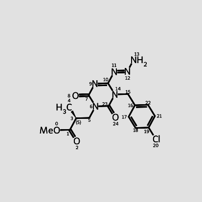 COC(=O)[C@@H](C)Cn1c(=O)nc(N=NN)n(Cc2ccc(Cl)cc2)c1=O